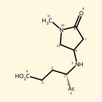 CC(=O)[C@H](CCC(=O)O)NC1CC(=O)N(C)C1